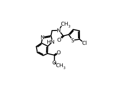 COC(=O)c1cccc2nc(CN(C)C(=O)c3ccc(Cl)s3)[nH]c12